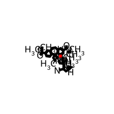 CC(C)NC(=N)C1(C[C@H](C)NCC(=O)N2C(C#N)C[C@@H]3C[C@@H]32)c2ccc(C(=O)N(C)C)cc2CCc2cc(C(=O)N(C)C)ccc21